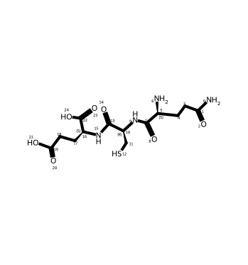 NC(=O)CC[C@H](N)C(=O)N[C@@H](CS)C(=O)N[C@@H](CCC(=O)O)C(=O)O